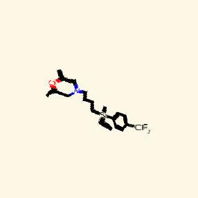 C=C[Si](C)(CCCCN1CC(C)OC(C)C1)c1ccc(C(F)(F)F)cc1